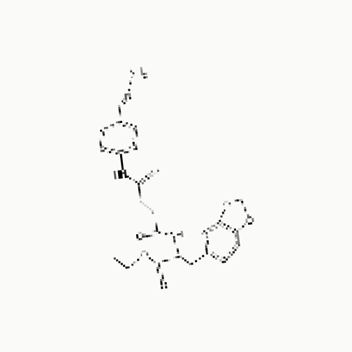 CCOC(=O)C(Cc1ccc2c(c1)OCO2)NC(=O)CCC(=O)Nc1ccc(C=NN)cc1